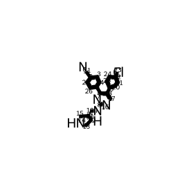 N#Cc1ccc(-c2nc(NC[C@H]3CCNC3)ncc2-c2ccc(Cl)cc2)cc1